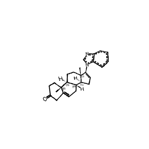 C[C@]12CCC(=O)CC1=CC[C@@H]1[C@@H]2CC[C@]2(C)C(n3cnc4ccccc43)=CC[C@@H]12